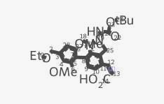 CCOCc1cc(OC)c(-c2ccc(/C=C\C(=O)O)c3c2N(C)N(NC(=O)OC(C)(C)C)C3)c(OC)c1